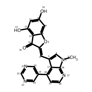 Cn1cc(/C=C2\Oc3cc(O)cc(O)c3C2=O)c2c(-c3cncnc3)ccnc21